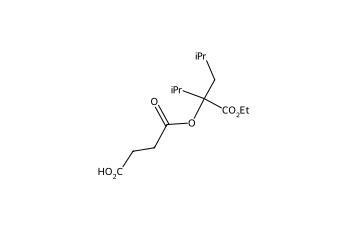 CCOC(=O)C(CC(C)C)(OC(=O)CCC(=O)O)C(C)C